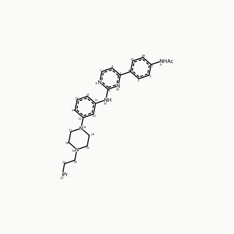 CC(=O)Nc1ccc(-c2ccnc(Nc3cccc(N4CCN(CCC(C)C)CC4)c3)n2)cc1